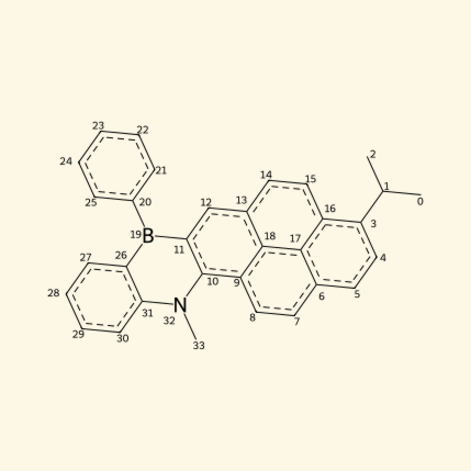 CC(C)c1ccc2ccc3c4c(cc5ccc1c2c53)B(c1ccccc1)c1ccccc1N4C